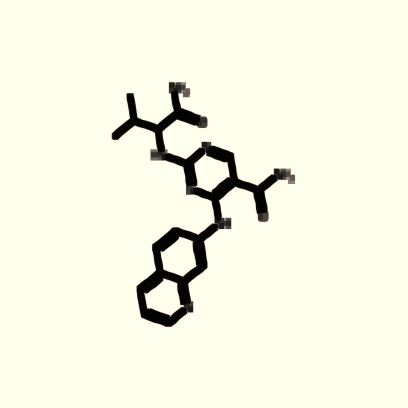 CC(C)C(Nc1ncc(C(N)=O)c(Nc2ccc3cccnc3c2)n1)C(N)=O